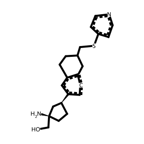 N[C@]1(CO)CC[C@H](c2ccc3c(c2)CCC(CSc2ccncc2)C3)C1